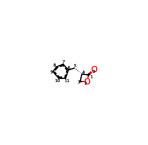 O=C1OC[C@@H]1Cc1ccccc1